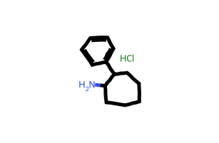 Cl.NC1CCCCCC1c1ccccc1